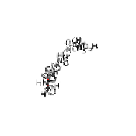 CC(C)(C)OC(=O)N[C@@H]1C[C@H]2CC[C@@H](C1)N2Cc1ccc(-n2ccc(NC(=O)N3CCN(C(=O)C(C)(C)NC(=O)O)CC3)nc2=O)cc1